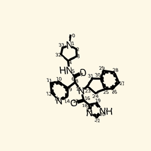 CN1CCC(NC(=O)C(c2cccnc2)N(C(=O)c2c[nH]cn2)C2Cc3ccccc3C2)CC1